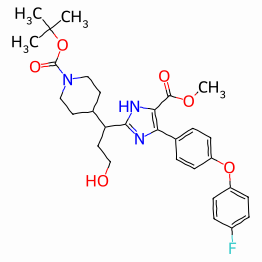 COC(=O)c1[nH]c(C(CCO)C2CCN(C(=O)OC(C)(C)C)CC2)nc1-c1ccc(Oc2ccc(F)cc2)cc1